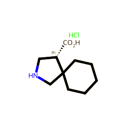 Cl.O=C(O)[C@H]1CNCC12CCCCC2